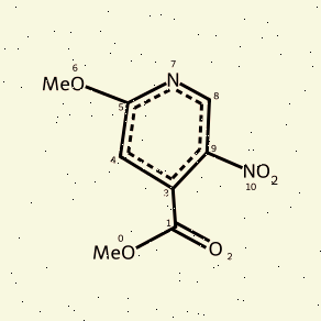 COC(=O)c1cc(OC)ncc1[N+](=O)[O-]